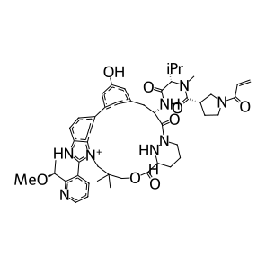 C=CC(=O)N1CC[C@H](C(=O)N(C)[C@H](C(=O)N[C@H]2Cc3cc(O)cc(c3)-c3ccc4[nH]c(-c5cccnc5[C@H](C)OC)[n+](c4c3)CC(C)(C)COC(=O)[C@@H]3CCCN(N3)C2=O)C(C)C)C1